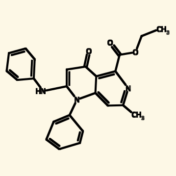 CCOC(=O)c1nc(C)cc2c1c(=O)cc(Nc1ccccc1)n2-c1ccccc1